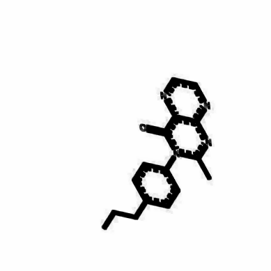 CCCc1ccc(-n2c(C)nc3nccnc3c2=O)cc1